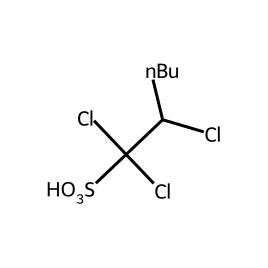 CCCCC(Cl)C(Cl)(Cl)S(=O)(=O)O